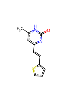 O=c1nc(/C=C/c2cccs2)cc(C(F)(F)F)[nH]1